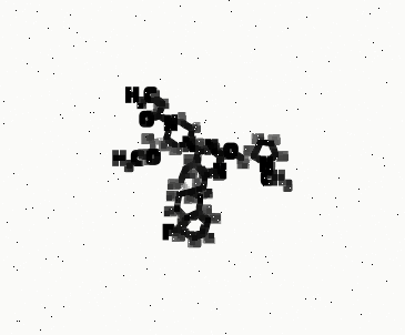 C=CC(=O)N1CCN(c2nc(OC[C@@H]3CCCN3C)nc3c2CC[C@]2(CCc4c(F)cccc4C2)C3)C[C@@H]1COC